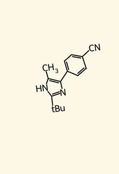 Cc1[nH]c(C(C)(C)C)nc1-c1ccc(C#N)cc1